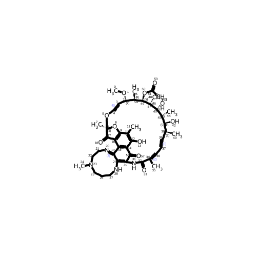 CO[C@H]1/C=C/O[C@@]2(C)Oc3c(C)c(O)c4c(c3C2=O)/C2=N/CCN(C)CCCNC2=C(NC(=O)/C(C)=C\C=C\[C@H](C)[C@H](O)[C@@H](C)[C@@H](O)[C@@H](C)[C@H](OC(C)=O)[C@@H]1C)C4=O